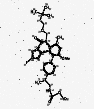 COc1cc(C)c2c(c1-c1ccc(C(C)CNC(=O)OC(C)(C)C)cc1)c1cc(F)sc1c(=O)n2COCC[Si](C)(C)C